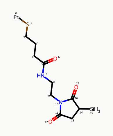 CC(C)SCCCC(=O)NCCN1C(=O)CC([SiH3])C1=O